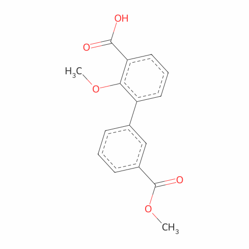 COC(=O)c1cccc(-c2cccc(C(=O)O)c2OC)c1